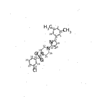 Cc1cc(C)cc(-c2csc(N3CCN(S(=O)(=O)c4cccc(Cl)c4)CC3)n2)c1